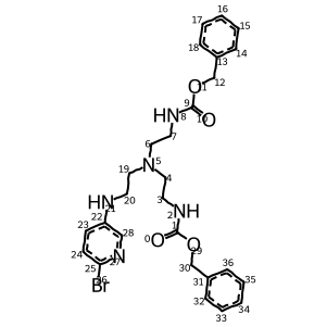 O=C(NCCN(CCNC(=O)OCc1ccccc1)CCNc1ccc(Br)nc1)OCc1ccccc1